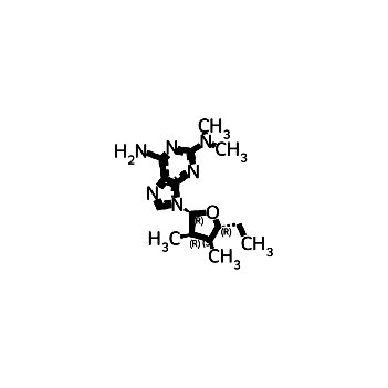 CC[C@H]1O[C@@H](n2cnc3c(N)nc(N(C)C)nc32)[C@H](C)[C@@H]1C